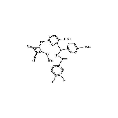 COc1ccc(C(NC(C)c2ccc(F)c(F)c2)c2cc(Nc3c(OC(C)(C)C)c(=O)c3=O)ccc2OC)cc1